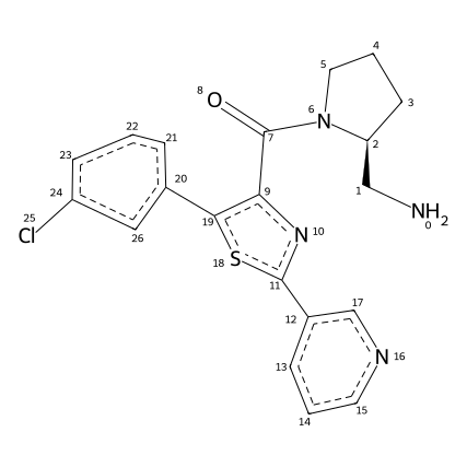 NC[C@@H]1CCCN1C(=O)c1nc(-c2cccnc2)sc1-c1cccc(Cl)c1